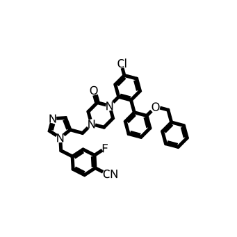 N#Cc1ccc(Cn2cncc2CN2CCN(c3cc(Cl)ccc3-c3ccccc3OCc3ccccc3)C(=O)C2)cc1F